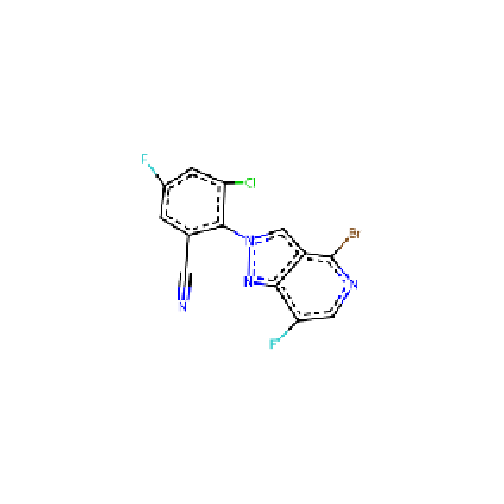 N#Cc1cc(F)cc(Cl)c1-n1cc2c(Br)ncc(F)c2n1